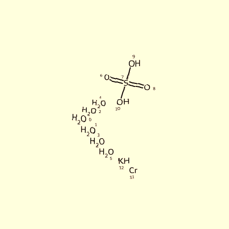 O.O.O.O.O.O.O=S(=O)(O)O.[Cr].[KH]